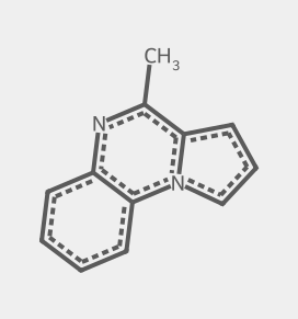 Cc1nc2ccccc2n2cccc12